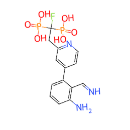 N=Cc1c(N)cccc1-c1ccnc(CC(F)(P(=O)(O)O)P(=O)(O)O)c1